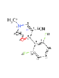 CN(C)/C=C(/C#N)C(=O)c1c(F)cccc1F